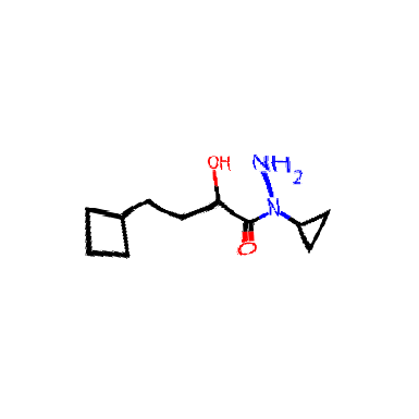 NN(C(=O)C(O)CCC1CCC1)C1CC1